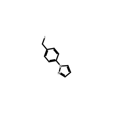 ICc1ccc(-n2cccn2)cc1